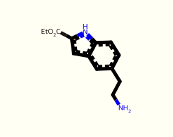 CCOC(=O)c1cc2cc(CCN)ccc2[nH]1